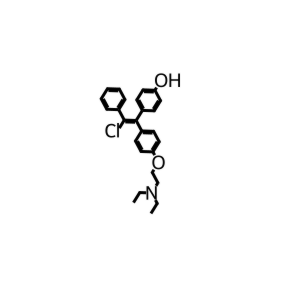 CCN(CC)CCOc1ccc(C(=C(Cl)c2ccccc2)c2ccc(O)cc2)cc1